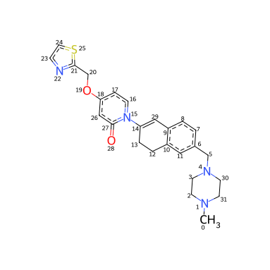 CN1CCN(Cc2ccc3c(c2)CCC(n2ccc(OCc4nccs4)cc2=O)=C3)CC1